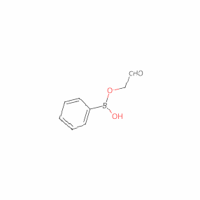 O=CCOB(O)c1ccccc1